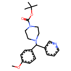 COc1ccc(C(c2cccnc2)N2CCN(C(=O)OC(C)(C)C)CC2)cc1